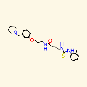 Cc1ccccc1NC(=S)NCCCC(=O)NCCCOc1cccc(CN2CCCCC2)c1